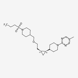 Cc1cnc(N2CCC([C@H]3C[C@H]3CCOCC3CCN(S(=O)(=O)CCC(F)(F)F)CC3)CC2)nc1